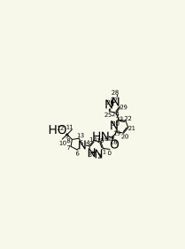 Cc1nnc(N2CCC(C(C)(C)O)C2)cc1NC(=O)c1cccc(-c2cnn(C)c2)n1